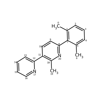 Cc1cccc(C)c1-c1ccc(-c2ccccn2)c(C)n1